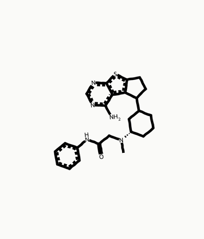 CN(CC(=O)Nc1ccccc1)[C@H]1CCCC(C2CCc3sc4ncnc(N)c4c32)C1